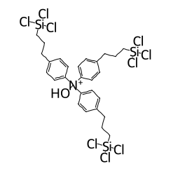 O[N+](c1ccc(CCC[Si](Cl)(Cl)Cl)cc1)(c1ccc(CCC[Si](Cl)(Cl)Cl)cc1)c1ccc(CCC[Si](Cl)(Cl)Cl)cc1